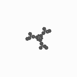 CC1(C)c2cc(C3=CC=C(N(c4ccccc4)c4ccc5ccccc5c4)CC3)cc3c2N2c4c1cc(-c1ccc(N(C5=Cc6ccccc6CC5)c5ccccc5)cc1)cc4C(C)(C)c1cc(-c4ccc(N(c5ccccc5)c5ccc6ccccc6c5)cc4)cc(c12)C3(C)C